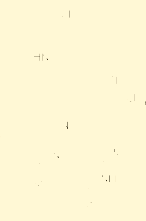 CC1(C)CC(CN(C2CCC(NCCC(F)(F)F)CC2)C2c3ccccc3C(=O)N2C2CC(=O)NC(=O)C2)C1